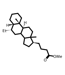 CC[C@H]1CC2C3CC[C@H](CCCC(=O)OC)C3(C)CC[C@@H]2[C@@]2(C)CCCC[C@@H]12